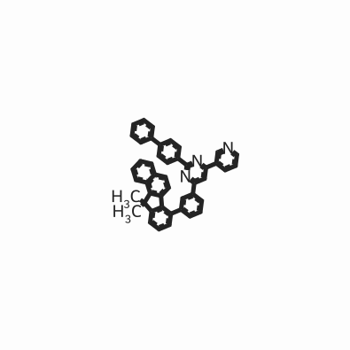 CC1(C)c2cccc(-c3cccc(-c4cc(-c5cccnc5)nc(-c5ccc(-c6ccccc6)cc5)n4)c3)c2-c2ccc3ccccc3c21